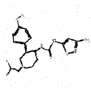 COc1ccc(C2CN(CC(F)F)CCC2NC(=O)Nc2cc(C)ns2)cc1